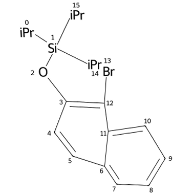 CC(C)[Si](Oc1ccc2ccccc2c1Br)(C(C)C)C(C)C